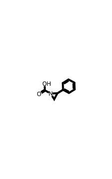 O=C(O)N1CC1c1ccccc1